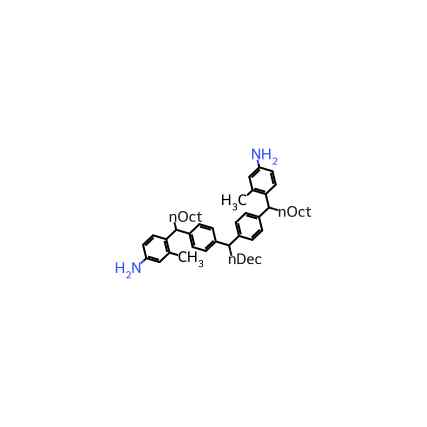 CCCCCCCCCCC(c1ccc(C(CCCCCCCC)c2ccc(N)cc2C)cc1)c1ccc(C(CCCCCCCC)c2ccc(N)cc2C)cc1